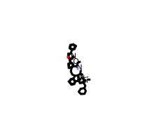 C=C1C/N=C(/CC)c2c(ccc3c2oc2nc(-c4ccccc4)ccc23)CCC2c3ccccc3-c3cc(CC4CCCCC4)c([Si](C)(C)C)c[n+]3C12